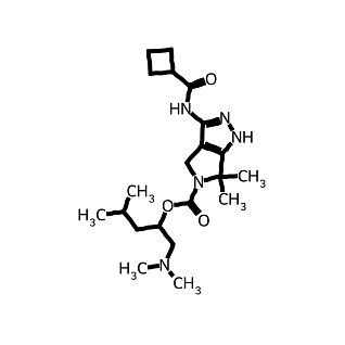 CC(C)CC(CN(C)C)OC(=O)N1Cc2c(NC(=O)C3CCC3)n[nH]c2C1(C)C